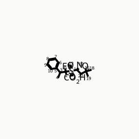 CCC(C(=O)O)(C(C)c1ccccc1)S(=O)(=O)C1=NOC(C)(C)C1